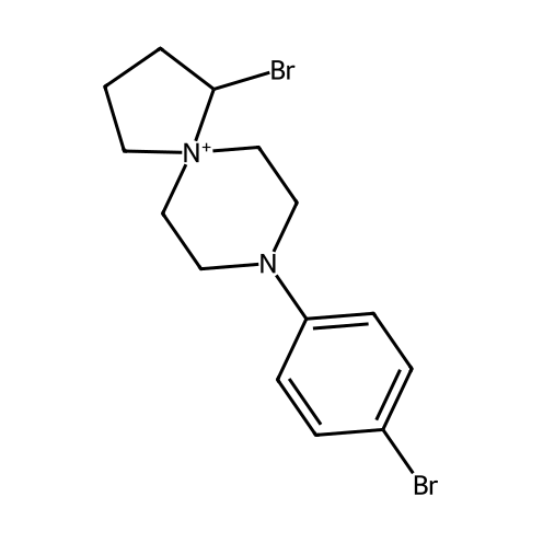 Brc1ccc(N2CC[N+]3(CCCC3Br)CC2)cc1